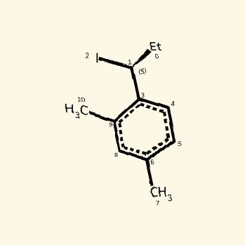 CC[C@H](I)c1ccc(C)cc1C